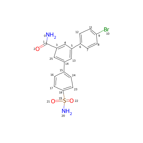 NC(=O)c1cc(-c2ccc(Br)cc2)cc(-c2ccc(S(N)(=O)=O)cc2)c1